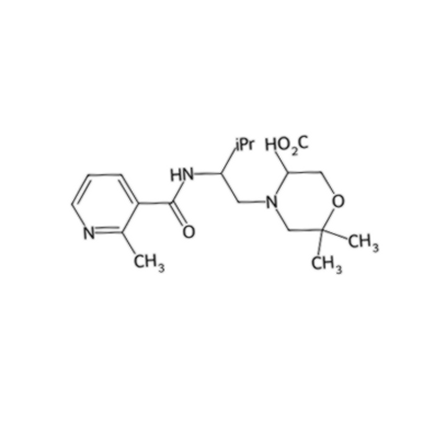 Cc1ncccc1C(=O)NC(CN1CC(C)(C)OCC1C(=O)O)C(C)C